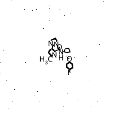 Cc1ccc(-c2ncccn2)c(C(=O)N[C@H]2CCC[C@@H]2COc2ccc(F)cc2)n1